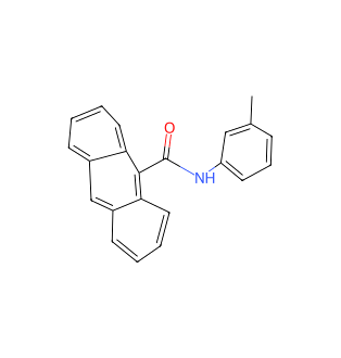 Cc1cccc(NC(=O)c2c3ccccc3cc3ccccc23)c1